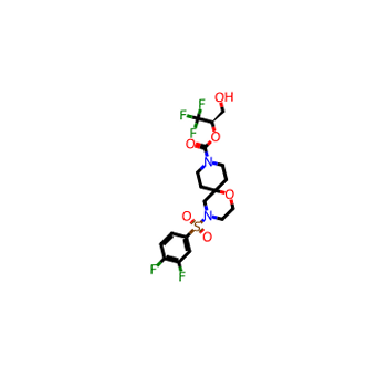 O=C(O[C@H](CO)C(F)(F)F)N1CCC2(CC1)CN(S(=O)(=O)c1ccc(F)c(F)c1)CCO2